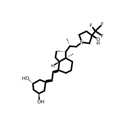 C[C@H](CN1CCC(O)(C(F)(F)F)C1)[C@H]1CC[C@H]2/C(=C/C=C3C[C@@H](O)C[C@H](O)C3)CCC[C@]12C